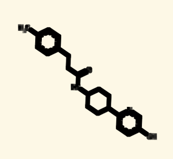 Cc1ccc(CCC(=O)NC2CCC(c3ccc(O)cn3)CC2)cc1